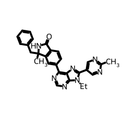 CCn1c(-c2cnc(C)nc2)nc2c(-c3ccc4c(c3)C(C)(Cc3ccccc3)NC4=O)ncnc21